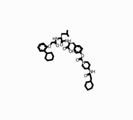 CC(C)C[C@H](NC(=O)COc1ccccc1C1CCCCC1)C(=O)N[C@@H](Cc1ccc(OC(=O)N2CCC(NC(=O)CC3CCCCC3)CC2)cc1)C(=O)O